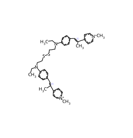 CCN(CCSSCCN(CC)c1ccc(/C=C(\C)c2cc[n+](C)cc2)cc1)c1ccc(/C=C(\C)c2cc[n+](C)cc2)cc1